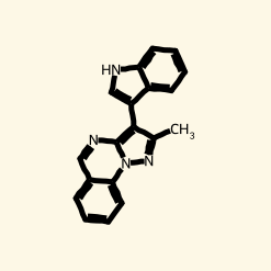 Cc1nn2c(ncc3ccccc32)c1-c1c[nH]c2ccccc12